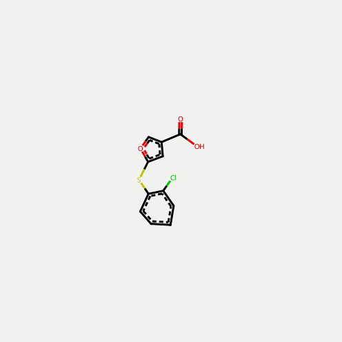 O=C(O)c1coc(Sc2ccccc2Cl)c1